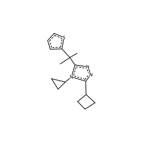 CC(C)(c1cccs1)c1nnc(C2CCC2)n1C1CC1